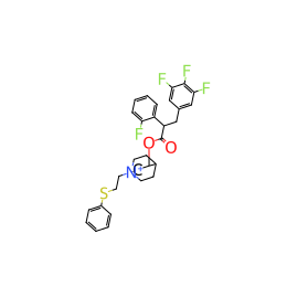 O=C(OC1C[N+]2(CCSc3ccccc3)CCC1CC2)C(Cc1cc(F)c(F)c(F)c1)c1ccccc1F